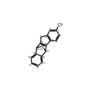 Clc1ccc2c(c1)CC1=C2C2SC1c1ccccc12